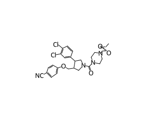 CS(=O)(=O)N1CCN(C(=O)N2CC(COc3ccc(C#N)cc3)C(c3ccc(Cl)c(Cl)c3)C2)CC1